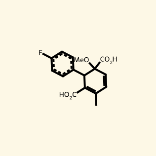 COC1(C(=O)O)C=CC(C)=C(C(=O)O)C1c1ccc(F)cc1